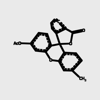 CC(=O)Oc1ccc2c(c1)Oc1cc(C)ccc1C21OC(=O)c2ccccc21